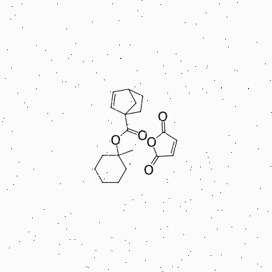 CC1(OC(=O)C23C=CC(CC2)C3)CCCCC1.O=C1C=CC(=O)O1